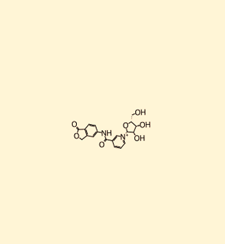 O=C(Nc1ccc2c(c1)COC2=O)c1ccc[n+]([C@@H]2O[C@H](CO)[C@@H](O)[C@H]2O)c1